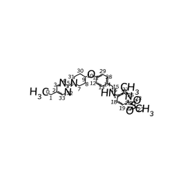 CCc1cnc(N2CCC(Oc3ccc(CNc4ccc(S(C)(=O)=O)nc4C)cc3)CC2)nc1